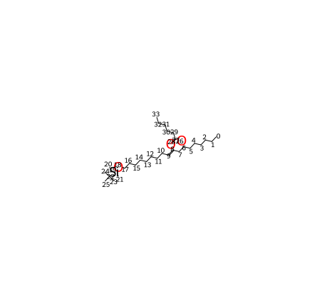 CCCCCCC(CC=CCCCCCCCCO[Si](C)(C)C(C)(C)C)OC(=O)CCCCC